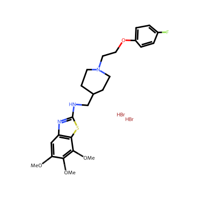 Br.Br.COc1cc2nc(NCC3CCN(CCOc4ccc(F)cc4)CC3)sc2c(OC)c1OC